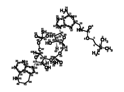 C[Si](C)(C)CCOC(=O)NCc1nc(N)c2ncn([C@@H]3O[C@@H]4COP(=O)(S)O[C@H]5[C@@H](O)[C@H](n6cc7c8c(ncnc86)NCCC7)O[C@@H]5COP(=O)(S)O[C@@H]3[C@@H]4O)c2n1